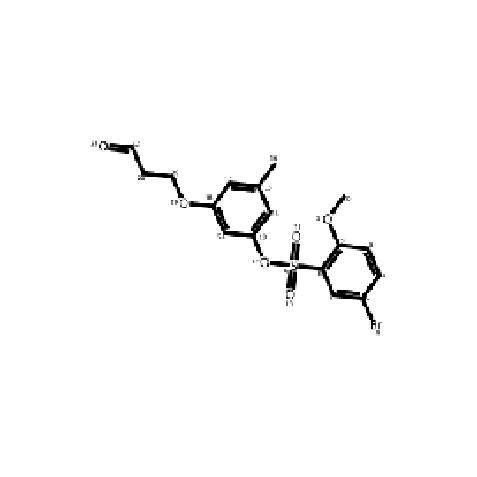 COc1ccc(Br)cc1S(=O)(=O)Oc1cc(C)cc(OCCC=O)c1